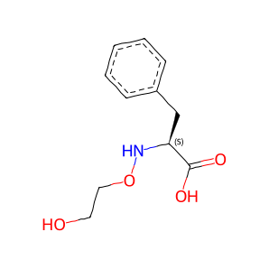 O=C(O)[C@H](Cc1ccccc1)NOCCO